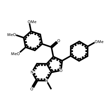 COc1ccc(-c2oc3c(cnc(=O)n3C)c2C(=O)c2cc(OC)c(OC)c(OC)c2)cc1